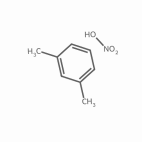 Cc1cccc(C)c1.O=[N+]([O-])O